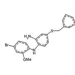 COc1cc(Br)ccc1Nc1ccc(SCc2ccccc2)cc1N